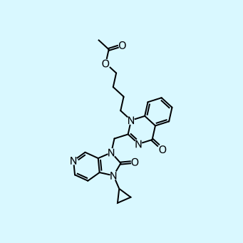 CC(=O)OCCCCn1c(Cn2c(=O)n(C3CC3)c3ccncc32)nc(=O)c2ccccc21